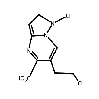 O=C(O)C1=NC2=CCN(Cl)N2C=C1CCCl